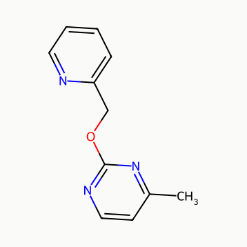 Cc1ccnc(OCc2ccccn2)n1